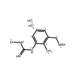 CCNC(=N)Nc1cccc(CNC)c1C.Cl.Cl